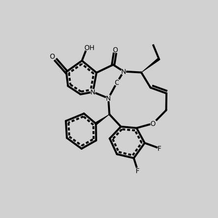 CC[C@H]1/C=C/COc2c(ccc(F)c2F)[C@@H](c2ccccc2)N2CN1C(=O)c1c(O)c(=O)ccn12